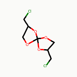 ClCC1COC2(OCC(CCl)O2)O1